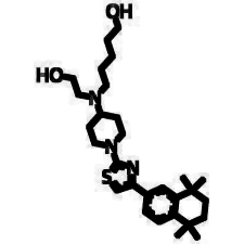 CC1(C)CCC(C)(C)c2cc(-c3csc(N4CCC(N(CCO)CCCCCO)CC4)n3)ccc21